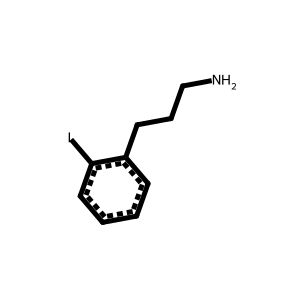 NCCCc1ccccc1I